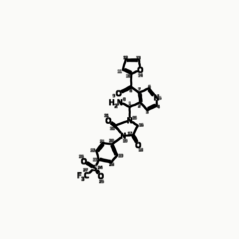 NC(c1ccncc1C(=O)c1ccco1)N1CC(=O)N(c2ccc(S(=O)(=O)C(F)(F)F)cc2)C1=O